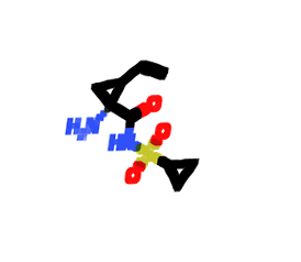 C=CC1C[C@]1(N)C(=O)NS(=O)(=O)C1CC1